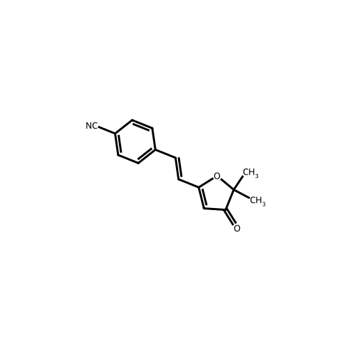 CC1(C)OC(C=Cc2ccc(C#N)cc2)=CC1=O